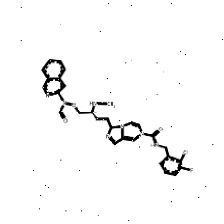 CN[C@@H](CCC1N=CC2=CN(C(=O)NCc3cccc(F)c3Cl)C=CN21)CON(C=O)c1cc2ccccc2cn1